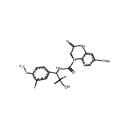 COc1cnc2c(c1)NC(=O)CN2C(=O)NC(c1ccc(OC(F)(F)F)c(F)c1)C(C)(C)O